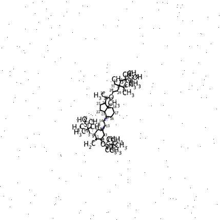 C=C1[C@H](CC(C)(C)[Si](C)(C)O)C/C(=C\C=C2/CCCC3(C)C2CCC3[C@@H](C)OCCC(CC)(CC)CC(C)(C)[Si](C)(C)O)C[C@H]1O[Si](C)(C)C(C)(C)C